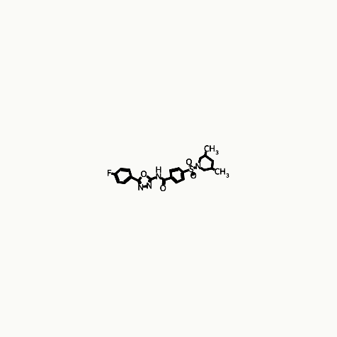 CC1CC(C)CN(S(=O)(=O)c2ccc(C(=O)Nc3nnc(-c4ccc(F)cc4)o3)cc2)C1